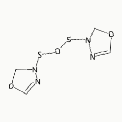 C1=NN(SOSN2COC=N2)CO1